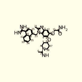 CC(=N)N1CCC(Oc2cc3c(cc2OCC(N)=O)nc(C)n3Cc2ccc(C(=N)N)c3ccccc23)CC1